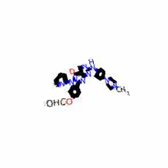 CN1CCN(c2ccc(Nc3ncc4c(=O)n5c(nc4n3)c3ccc(OC=O)cc3n5-c3ccccn3)cc2)CC1